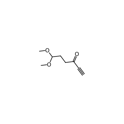 C#CC(=O)CCC(OC)OC